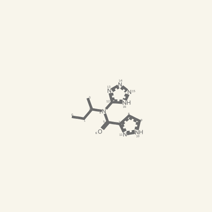 CCC(C)N(C(=O)c1cc[nH]n1)c1nnn[nH]1